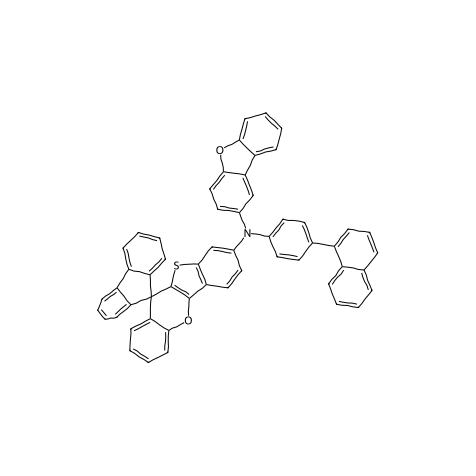 c1ccc2c(c1)Oc1c(sc3cc(N(c4ccc(-c5cccc6ccccc56)cc4)c4ccc5oc6ccccc6c5c4)ccc13)C21c2ccccc2-c2ccccc21